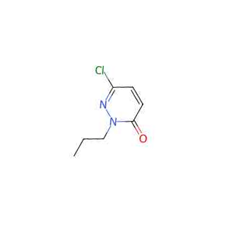 CCCn1nc(Cl)ccc1=O